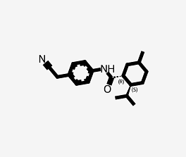 CC1CC[C@@H](C(C)C)[C@H](C(=O)Nc2ccc(CC#N)cc2)C1